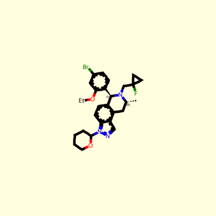 CCOc1cc(Br)ccc1[C@@H]1c2ccc3c(cnn3C3CCCCO3)c2C[C@@H](C)N1CC1(F)CC1